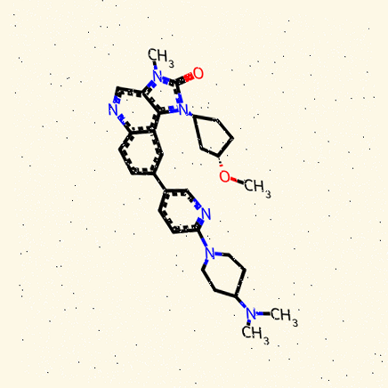 CO[C@H]1CC[C@H](n2c(=O)n(C)c3cnc4ccc(-c5ccc(N6CCC(N(C)C)CC6)nc5)cc4c32)C1